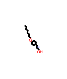 CCCCCCCCOc1ccc(/C=C/CO)cc1